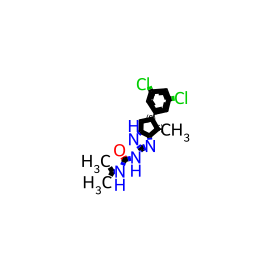 CC(C)NC(=O)NC1=NC2C(C[C@H](c3cc(Cl)cc(Cl)c3)[C@@H]2C)N1